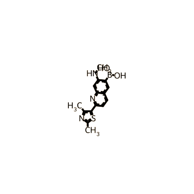 CNc1cc2nc(-c3sc(C)nc3C)ccc2cc1B(O)O